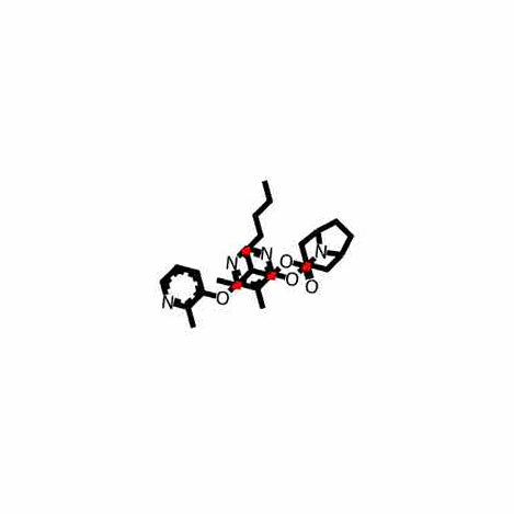 CCCCCC(CC)COC(=O)N1C2CCC1CC(Oc1ncnc(Oc3cccnc3C)c1C)C2